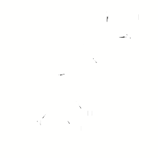 CCN(CC)[C@H]1C[C@@]2(C)[C@@H](CC[C@@H]3[C@@H]2CC[C@]2(C)[C@@H](O)[C@@H](N4CCCCC4)C[C@@H]32)C[C@H]1C